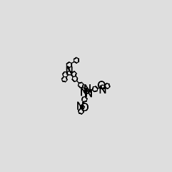 c1ccc(-c2cccc(-n3c4ccc5ccccc5c4c4c5ccc(-c6ccc(-c7nc(-c8ccc(-c9nc%10ccccc%10o9)cc8)nc(-c8ccc(-c9nc%10ccccc%10o9)cc8)n7)cc6)cc5ccc43)c2)cc1